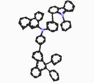 c1ccc(-c2c(-c3ccccc3)c3cc(-c4ccc(N(c5cccc(-c6cccc7c8ccccc8n(-c8ccccc8)c67)c5)c5cc6ccccc6c6ccccc56)cc4)ccc3c3ccccc23)cc1